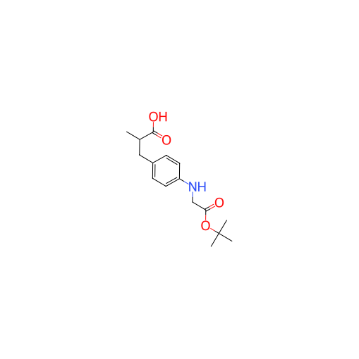 CC(Cc1ccc(NCC(=O)OC(C)(C)C)cc1)C(=O)O